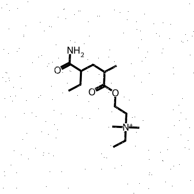 CCC(CC(C)C(=O)OCC[N+](C)(C)CC)C(N)=O